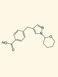 O=C(O)c1ccc(Cc2cnn(C3CCCCO3)c2)cc1